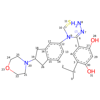 CC(C)c1cc(/C(=N/N)N(C=S)c2ccc3c(c2)CC(N2CCOCC2)C3)c(O)cc1O